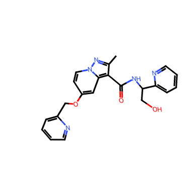 Cc1nn2ccc(OCc3ccccn3)cc2c1C(=O)NC(CO)c1ccccn1